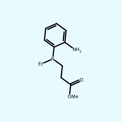 CCN(CCC(=O)OC)c1ccccc1N